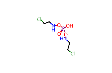 O=P(O)(ONCCCl)ONCCCl